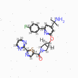 CC(C)(N)c1cc(OC2[C@H]3CN(C(=O)c4cnc(-c5ncccn5)s4)C[C@@H]23)nc(-c2ccc(F)cc2)c1